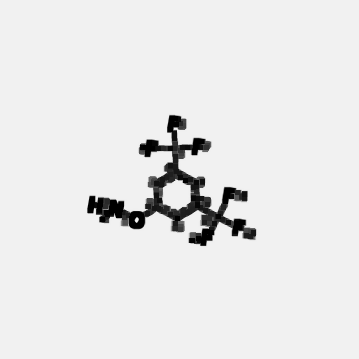 NOc1cc(C(F)(F)F)cc(C(F)(F)F)c1